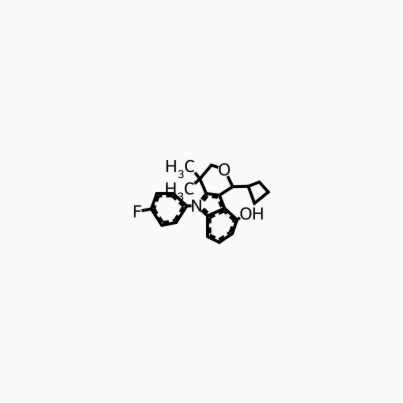 CC1(C)COC(C2CCC2)c2c1n(-c1ccc(F)cc1)c1cccc(O)c21